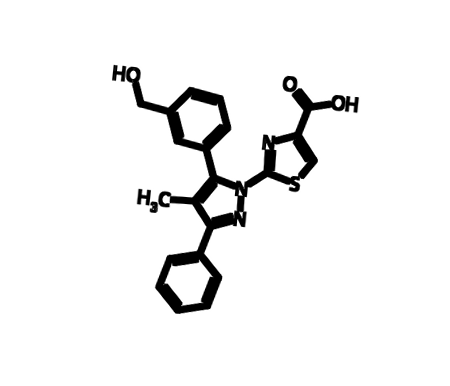 Cc1c(-c2ccccc2)nn(-c2nc(C(=O)O)cs2)c1-c1cccc(CO)c1